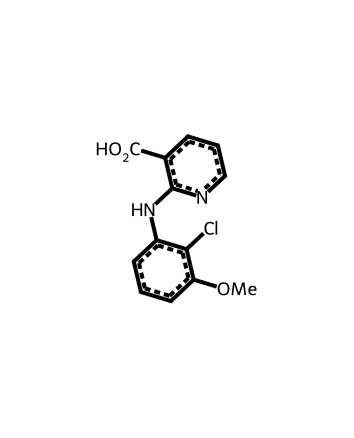 COc1cccc(Nc2ncccc2C(=O)O)c1Cl